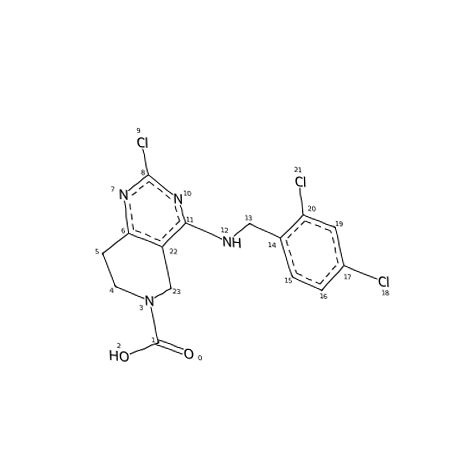 O=C(O)N1CCc2nc(Cl)nc(NCc3ccc(Cl)cc3Cl)c2C1